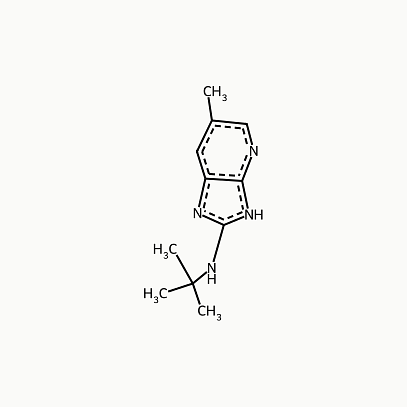 Cc1cnc2[nH]c(NC(C)(C)C)nc2c1